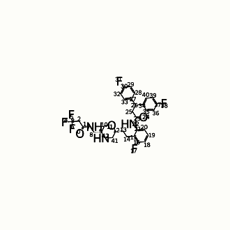 O=C(CC(F)(F)F)NC[C@@H]1CO[C@H](CCc2c(F)cccc2NC(=O)CC(c2ccc(F)cc2)c2ccc(F)cc2)CN1